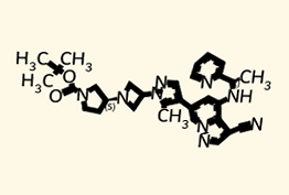 Cc1c(-c2cc(N[C@H](C)c3ccccn3)c3c(C#N)cnn3c2)cnn1C1CN([C@H]2CCN(C(=O)OC(C)(C)C)C2)C1